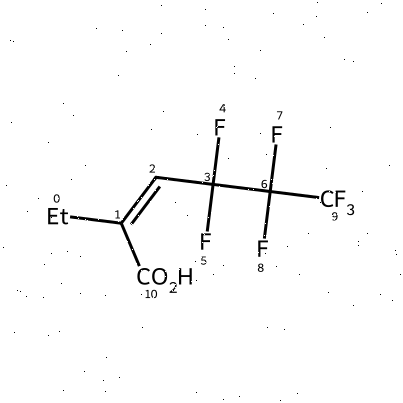 CCC(=CC(F)(F)C(F)(F)C(F)(F)F)C(=O)O